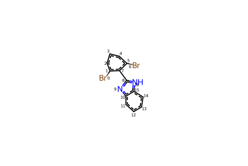 Brc1cccc(Br)c1-c1nc2ccccc2[nH]1